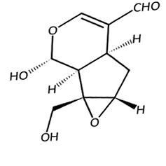 O=CC1=CO[C@@H](O)[C@H]2[C@@H]1C[C@@H]1O[C@]21CO